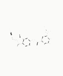 N#CCN1C(=O)c2ccc(NC(=O)c3cccc([N+](=O)[O-])c3)cc2C1=O